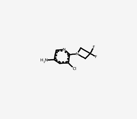 Nc1cnc(N2CC(F)(F)C2)c(Cl)c1